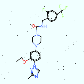 CCOc1cc(N2CCN(C(=O)NCc3ccc(C(F)(F)F)cc3F)CC2)ccc1-n1cnc(C)n1